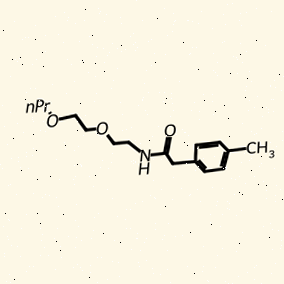 CCCOCCOCCNC(=O)Cc1ccc(C)cc1